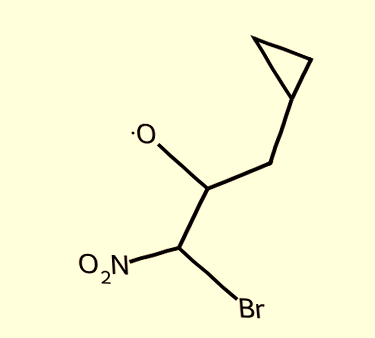 [O]C(CC1CC1)C(Br)[N+](=O)[O-]